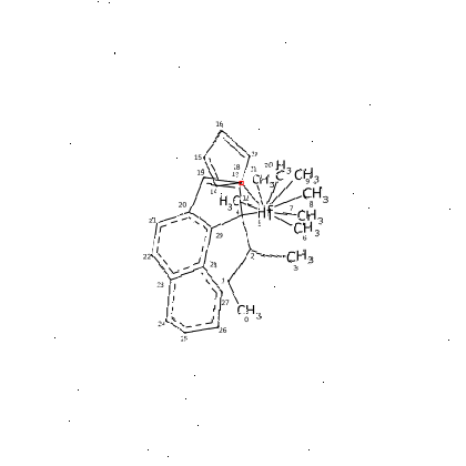 CCC(C)[C]1([Hf]([CH3])([CH3])([CH3])([CH3])([CH3])([CH3])([CH3])[CH]2C=CC=C2)C=Cc2ccc3ccccc3c21